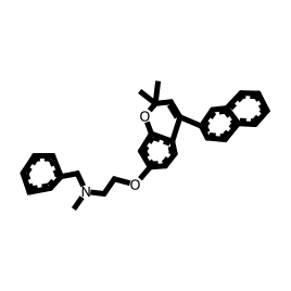 CN(CCOc1ccc2c(c1)OC(C)(C)C=C2c1ccc2ccccc2c1)Cc1ccccc1